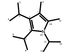 Cc1c(C(C)C)c(C(C)C)n(C(C)C)c1C